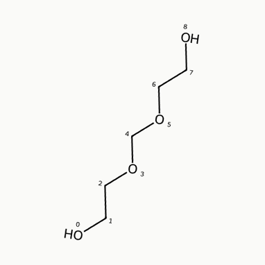 OCCOCOCCO